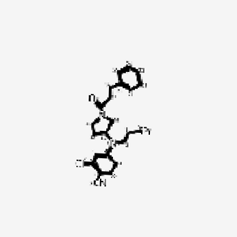 CC(C)CCN(C1=CC(Cl)=C(C#N)CC1)C1CCN(C(=O)CCc2ccccc2)C1